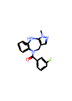 Cn1ncc2c1Nc1ccccc1N(C(=O)c1cccc(F)c1)C2